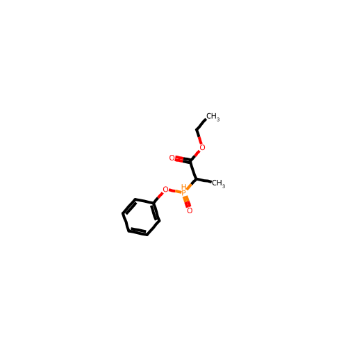 CCOC(=O)C(C)[PH](=O)Oc1ccccc1